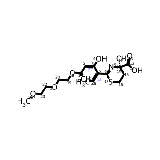 C=C(/C=C(O)\C(=C/C)C1=N[C@@](C)(C(=O)O)CCS1)OCCOCCOC